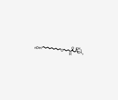 CCCCCCCCCCCCCCCCCCCOCCCNC(=O)CN(C)C